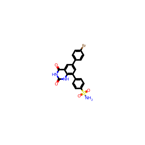 NS(=O)(=O)c1ccc(-c2cc(-c3ccc(Br)cc3)cc3c(=O)[nH]c(=O)[nH]c23)cc1